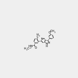 CCNC(=O)c1ccc(C)c(-c2cc3[nH]nc(-c4cccc(OC)c4)c3cn2)c1